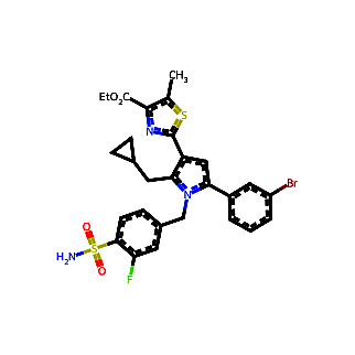 CCOC(=O)c1nc(-c2cc(-c3cccc(Br)c3)n(Cc3ccc(S(N)(=O)=O)c(F)c3)c2CC2CC2)sc1C